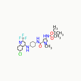 Cn1cc(NC(=O)OC(C)(C)C)cc1C(=O)N[C@H]1CC[C@@H](Nc2cc(C(F)(F)F)nc3ccc(Cl)cc23)CC1